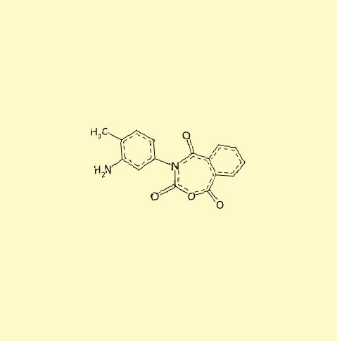 Cc1ccc(-n2c(=O)oc(=O)c3ccccc3c2=O)cc1N